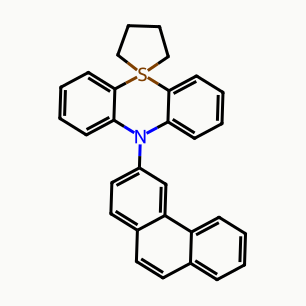 c1ccc2c(c1)N(c1ccc3ccc4ccccc4c3c1)c1ccccc1S21CCCC1